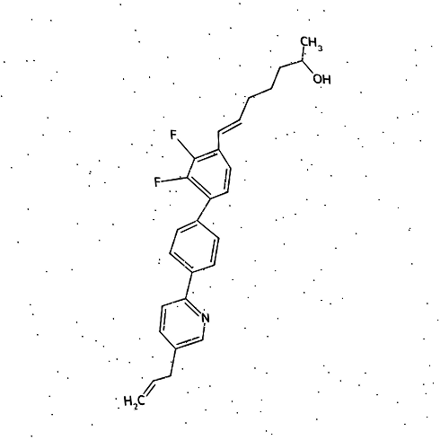 C=CCc1ccc(-c2ccc(-c3ccc(/C=C/CCCC(C)O)c(F)c3F)cc2)nc1